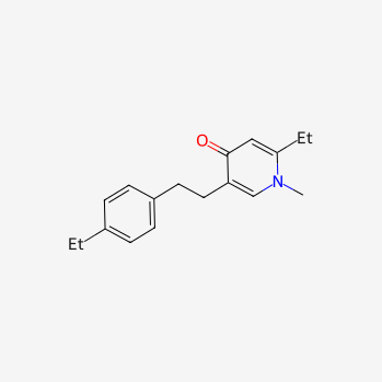 CCc1ccc(CCc2cn(C)c(CC)cc2=O)cc1